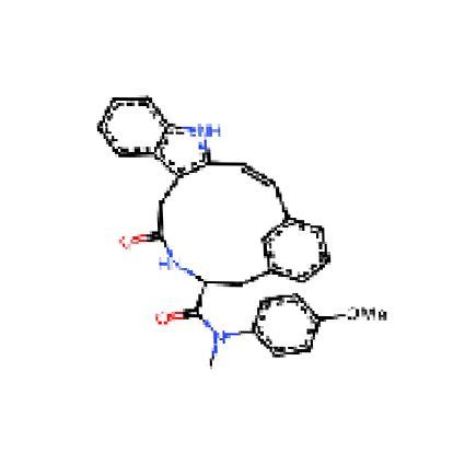 COc1ccc(N(C)C(=O)[C@@H]2Cc3cccc(c3)C=Cc3[nH]c4ccccc4c3CC(=O)N2)cc1